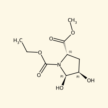 CCOC(=O)N1[C@H](O)[C@H](O)C[C@H]1C(=O)OC